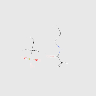 C=C(C)C(=O)NCCC.CCC(C)(C)S(=O)(=O)O